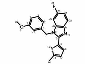 COc1cccc(Cn2c(-c3ccc(C)s3)nc3ccc(F)cc32)c1